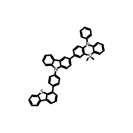 C[Si]1(C)c2ccccc2N(c2ccccc2)c2ccc(-c3ccc4c(c3)c3ccccc3n4-c3ccc(-c4cccc5c4sc4ccccc45)cc3)cc21